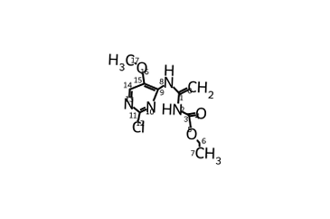 C=C(NC(=O)OCC)Nc1nc(Cl)ncc1OC